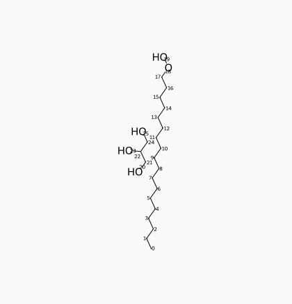 CCCCCCCCCCCCCCCCCCOO.OCC(O)CO